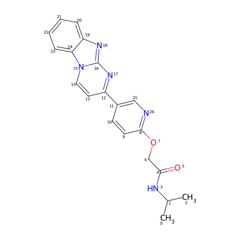 CC(C)NC(=O)COc1ccc(-c2ccn3c(n2)nc2ccccc23)cn1